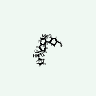 COc1cc(CF)ccc1-c1c(N)cnc2cc(S(=O)(=O)Nc3nccs3)ccc12